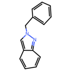 c1ccc(Cn2cc3ccccc3n2)cc1